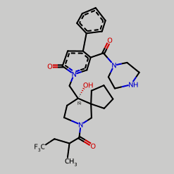 CC(CC(F)(F)F)C(=O)N1CC[C@@](O)(Cn2cc(C(=O)N3CCNCC3)c(-c3ccccc3)cc2=O)C2(CCCC2)C1